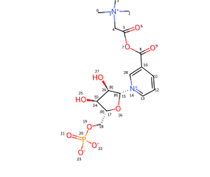 C[N+](C)(C)CC(=O)OC(=O)c1ccc[n+]([C@@H]2O[C@H](COP(=O)([O-])[O-])[C@@H](O)[C@H]2O)c1